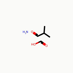 CC(C)C=O.N.O=CO